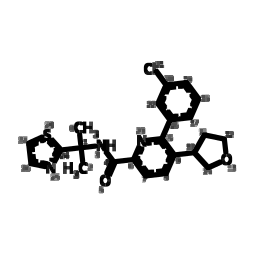 CC(C)(NC(=O)c1ccc(C2CCOC2)c(-c2cccc(Cl)c2)n1)c1nccs1